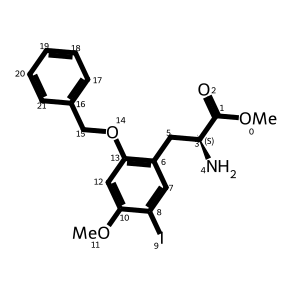 COC(=O)[C@@H](N)Cc1cc(I)c(OC)cc1OCc1ccccc1